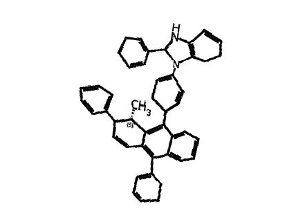 C[C@@H]1c2c(c(C3=CC=CCC3)c3ccccc3c2C2C=CC(N3C4=C(C=CCC4)NC3C3=CCCC=C3)=CC2)C=CC1c1ccccc1